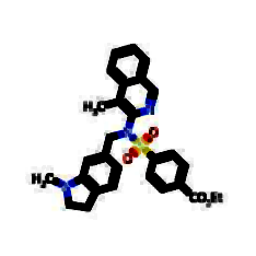 CCOC(=O)c1ccc(S(=O)(=O)N(Cc2ccc3c(c2)N(C)CC3)c2ncc3ccccc3c2C)cc1